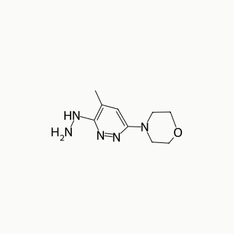 Cc1cc(N2CCOCC2)nnc1NN